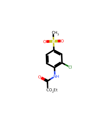 CCOC(=O)C(=O)Nc1ccc(S(C)(=O)=O)cc1Cl